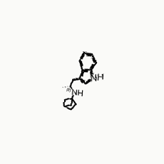 C[C@H](Cc1c[nH]c2ccccc12)NC12CCC(C1)C2